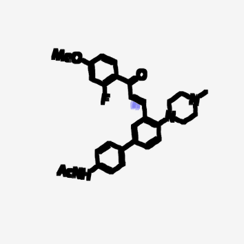 COc1ccc(C(=O)/C=C/c2cc(-c3ccc(NC(C)=O)cc3)ccc2N2CCN(C)CC2)c(F)c1